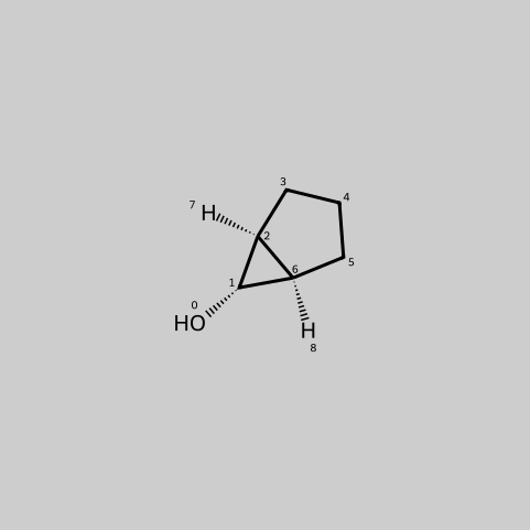 O[C@@H]1[C@H]2CCC[C@@H]12